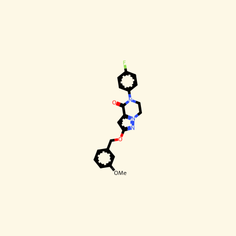 COc1cccc(COc2cc3n(n2)CCN(c2ccc(F)cc2)C3=O)c1